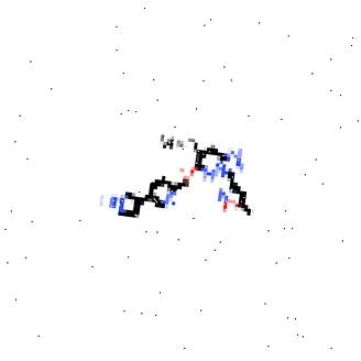 COc1cc2nnc(-c3cc(C)on3)n2nc1OCc1ccc(C2CCNC2)cn1